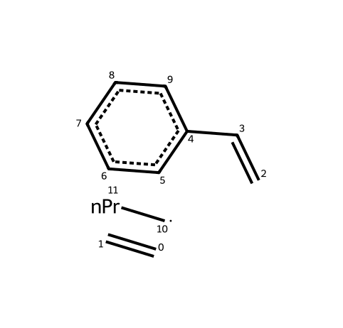 C=C.C=Cc1ccccc1.[CH2]CC[CH2]